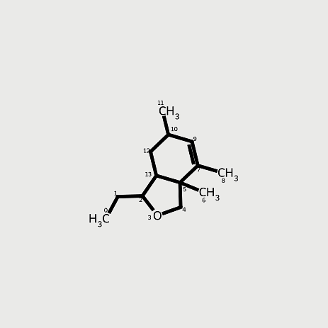 CCC1OCC2(C)C(C)=CC(C)CC12